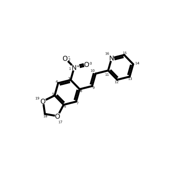 O=[N+]([O-])c1cc2c(cc1/C=C/c1ccccn1)OCO2